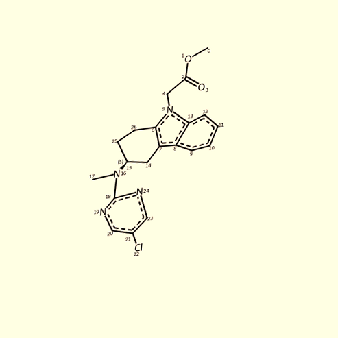 COC(=O)Cn1c2c(c3ccccc31)C[C@@H](N(C)c1ncc(Cl)cn1)CC2